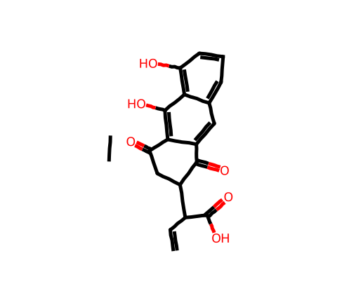 C=CC(C(=O)O)C1CC(=O)c2c(cc3cccc(O)c3c2O)C1=O.CC